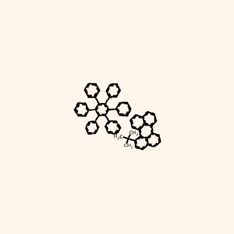 CC(C)(C)c1ccc2cccc3c4cccc5cccc(c1c23)c54.c1ccc(-c2c(-c3ccccc3)c(-c3ccccc3)c(-c3ccccc3)c(-c3ccccc3)c2-c2ccccc2)cc1